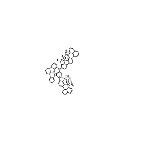 Cc1ccccc1-c1cccc2c1oc1c(N(c3ccc4c(c3)C(C)(C)c3c-4ccc4c3C(C)(C)c3cccc5cccc-4c35)c3ccc4c(c3)C(C)(C)c3c-4ccc4c3C(C)(C)c3cccc5cccc-4c35)cccc12